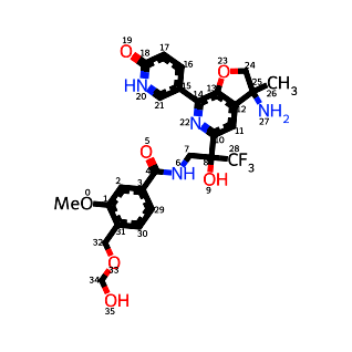 COc1cc(C(=O)NCC(O)(c2cc3c(c(-c4ccc(=O)[nH]c4)n2)OCC3(C)N)C(F)(F)F)ccc1COCO